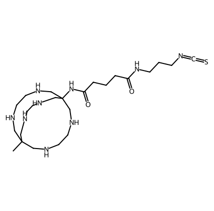 CC12CNCCNCC(NC(=O)CCCC(=O)NCCCN=C=S)(CNCCNC1)CNCCNC2